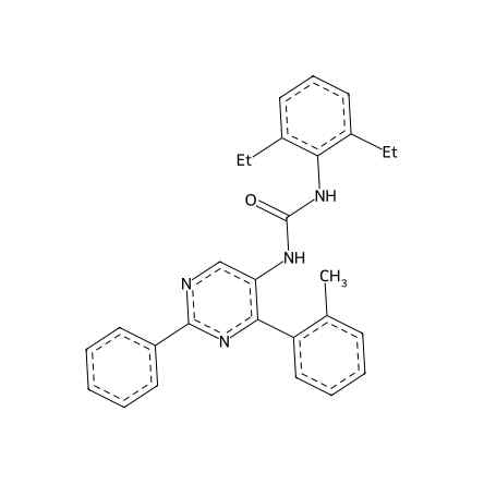 CCc1cccc(CC)c1NC(=O)Nc1cnc(-c2ccccc2)nc1-c1ccccc1C